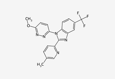 COc1ccc(-n2c(-c3ccc(C)cn3)nc3cc(C(F)(F)F)ccc32)nn1